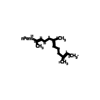 [CH2]C=C(C)CCC=C(C)CCC=C(C)CCCCC